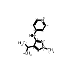 CC(C)c1cn(C)nc1Nc1ccncc1